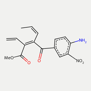 C=C/C(C(=O)OC)=C(\C=C/C)C(=O)c1ccc(N)c([N+](=O)[O-])c1